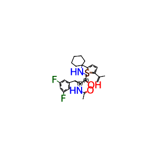 C=C(C)c1ccc(C2(NC[C@@H](O)[C@H](Cc3cc(F)cc(F)c3)NC(C)=O)CCCCC2)s1